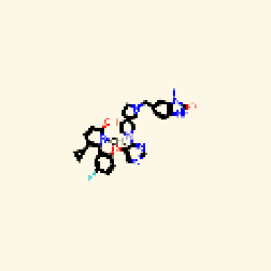 CN1C(c2cc(F)ccc2Oc2cncnc2N2CCC3(CCN(Cc4ccc5[nH]c(=O)[nH]c5c4)C3)C2)=C(C2CC2)C=CC1O